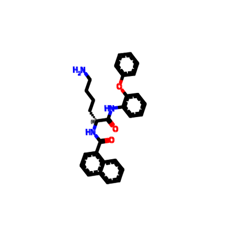 NCCCC[C@@H](NC(=O)c1cccc2ccccc12)C(=O)Nc1ccccc1Oc1ccccc1